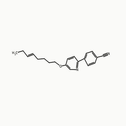 CCC=CCCCCOc1ccc(-c2ccc(C#N)cc2)nc1